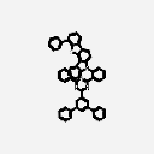 c1ccc(-c2cc(-c3ccccc3)cc(-c3nc(-c4ccccc4)nc(-c4ccccc4-n4c5ccccc5c5c6sc7c(-c8ccccc8)cccc7c6ccc54)n3)c2)cc1